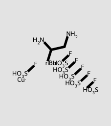 CCCCC(N)CN.O=S(=O)(O)F.O=S(=O)(O)F.O=S(=O)(O)F.O=S(=O)(O)F.O=S(=O)(O)F.O=S(=O)(O)F.[Cu]